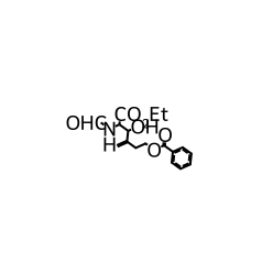 C=C(CCOC(=O)c1ccccc1)C(O)C(NC=O)C(=O)OCC